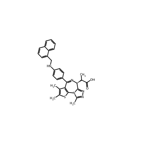 Cc1sc2c(c1C)C(c1ccc(NCc3cccc4ccccc34)cc1)=N[C@@H](C(C)C(=O)O)c1nnc(C)n1-2